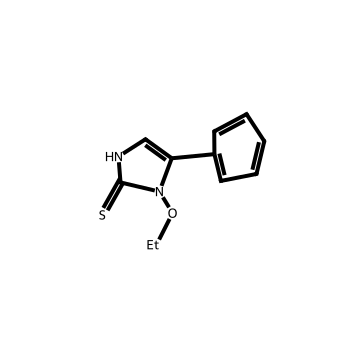 CCOn1c(-c2ccccc2)c[nH]c1=S